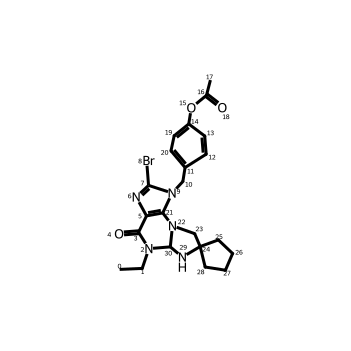 CCN1C(=O)c2nc(Br)n(Cc3ccc(OC(C)=O)cc3)c2N2CC3(CCCC3)NC12